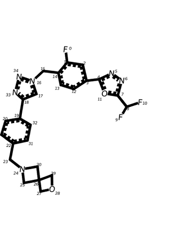 Fc1cc(-c2nnc(C(F)F)o2)ccc1Cn1cc(-c2ccc(CN3CC4(COC4)C3)cc2)nn1